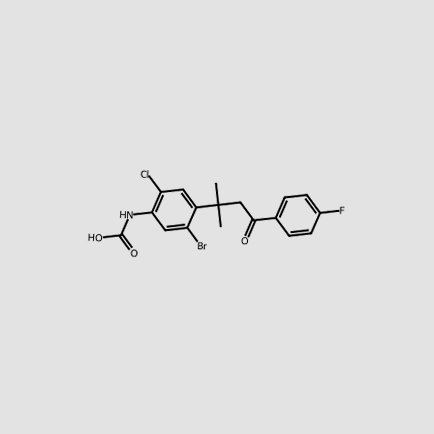 CC(C)(CC(=O)c1ccc(F)cc1)c1cc(Cl)c(NC(=O)O)cc1Br